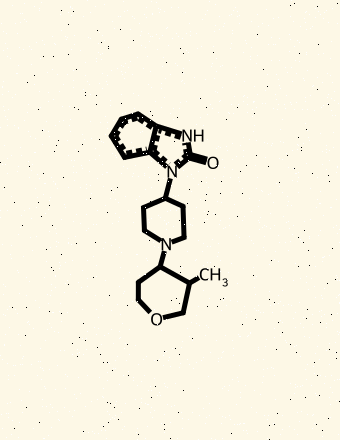 CC1COCCC1N1CCC(n2c(=O)[nH]c3ccccc32)CC1